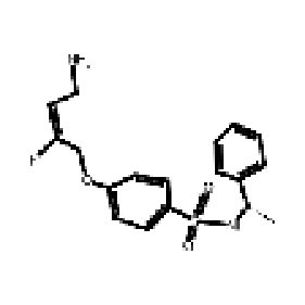 C[C@H](NS(=O)(=O)c1ccc(OC/C(F)=C\CN)cc1)c1ccccc1